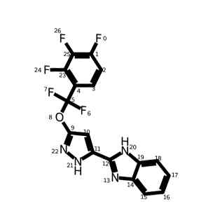 Fc1ccc(C(F)(F)Oc2cc(-c3nc4ccccc4[nH]3)[nH]n2)c(F)c1F